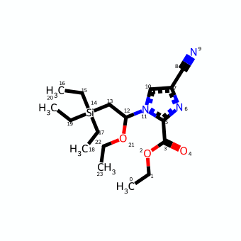 CCOC(=O)c1nc(C#N)cn1C(C[Si](CC)(CC)CC)OCC